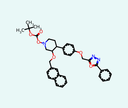 CC(C)(C)OC(=O)ON1CCC(c2ccc(OCc3nnc(-c4ccccc4)o3)cc2)C(OCc2ccc3ccccc3c2)C1